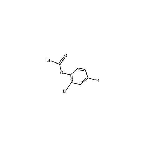 CCC(=O)Oc1ccc(I)cc1Br